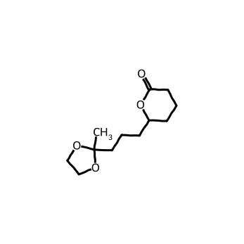 CC1(CCCC2CCCC(=O)O2)OCCO1